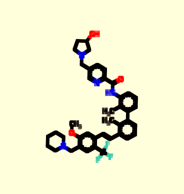 COc1cc(/C=C/c2cccc(-c3cccc(NC(=O)c4ccc(CN5CC[C@@H](O)C5)cn4)c3C)c2C)c(C(F)(F)F)cc1CN1CCCCC1